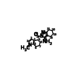 Cn1ccc2c1CCC[C@H]2C(=O)n1nc2c(c1N)CCCC2